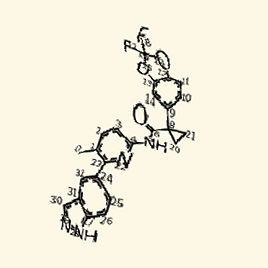 Cc1ccc(NC(=O)C2(c3ccc4c(c3)OC(F)(F)O4)CC2)nc1-c1ccc2[nH]ncc2c1